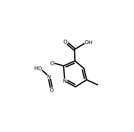 Cc1cnc(Cl)c(C(=O)O)c1.O=NO